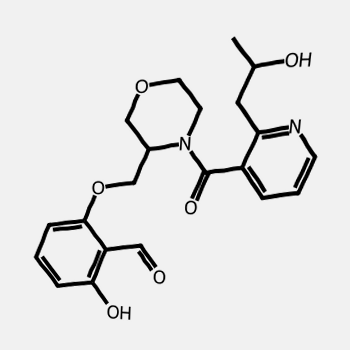 CC(O)Cc1ncccc1C(=O)N1CCOCC1COc1cccc(O)c1C=O